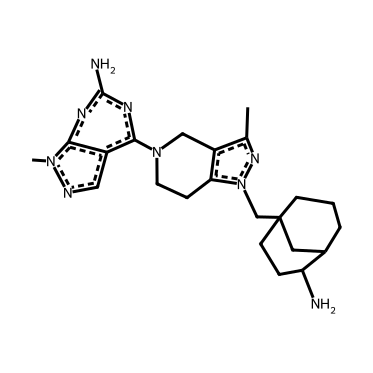 Cc1nn(CC23CCCC(C2)C(N)CC3)c2c1CN(c1nc(N)nc3c1cnn3C)CC2